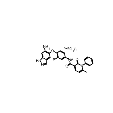 CS(=O)(=O)O.Cc1ccc(C(=O)Nc2ccc(Oc3cc4cn[nH]c4cc3N)c(F)c2)c(=O)n1-c1ccccc1